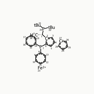 C[C@@H]([c-]1cccc1P(c1ccccc1)c1ccccc1)P(C(C)(C)C)C(C)(C)C.[Fe+2].c1cc[cH-]c1